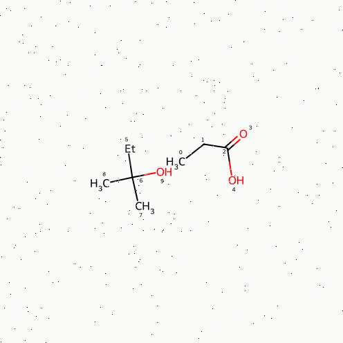 CCC(=O)O.CCC(C)(C)O